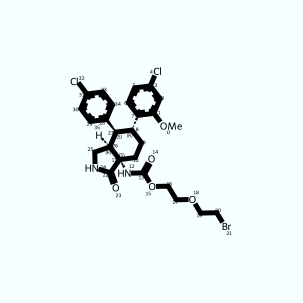 COc1cc(Cl)ccc1[C@@H]1CC[C@@]2(NC(=O)OCCOCCBr)C(=O)NC[C@H]2[C@H]1c1ccc(Cl)cc1